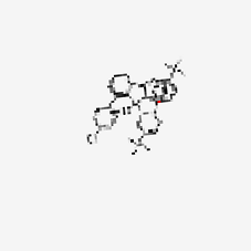 CC(C)(C)c1ccc(-c2ccc(C(C)(C)C)cc2C2(O)c3ccccc3-c3cccc(-c4ccc(Cl)cc4)c32)cc1